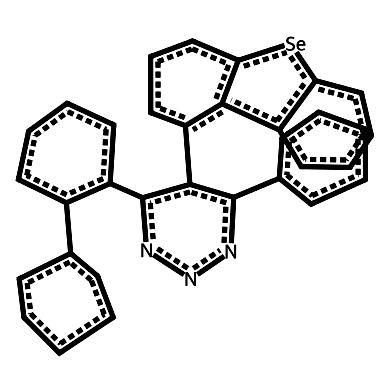 c1ccc(-c2ccccc2-c2nnnc(-c3ccccc3)c2-c2cccc3[se]c4ccccc4c23)cc1